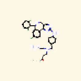 CNC(=O)CCN(CCN)C(=O)c1ccc(Nc2ncc3c(n2)-c2ccc(Cl)cc2C(c2c(F)cccc2F)=NC3)cc1